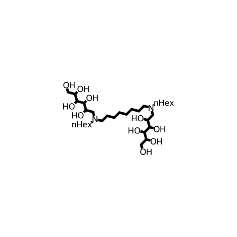 CCCCCCN(CCCCCCCCN(CCCCCC)CC(O)C(O)C(O)C(O)CO)CC(O)C(O)C(O)C(O)CO